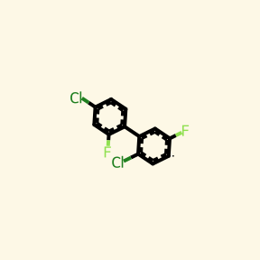 Fc1[c]cc(Cl)c(-c2ccc(Cl)cc2F)c1